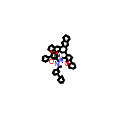 C=C(/N=C(\N=C(\c1c(C2Cc3cc4ccccc4cc3-c3cc4ccccc4cc3C2)ccc2c1oc1ccccc12)C(C)CC)c1cccc2c1oc1ccccc12)c1cccc(-c2ccccc2)c1